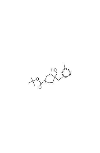 Cc1cccc(CC2(CO)CCN(C(=O)OC(C)(C)C)CC2)c1